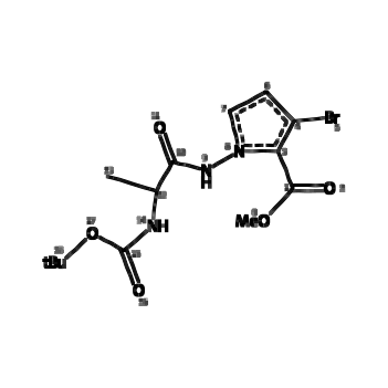 COC(=O)c1c(Br)ccn1NC(=O)C(C)NC(=O)OC(C)(C)C